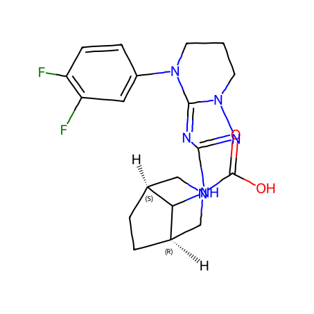 O=C(O)N1C[C@H]2CC[C@@H](C1)C2Nc1nc2n(n1)CCCN2c1ccc(F)c(F)c1